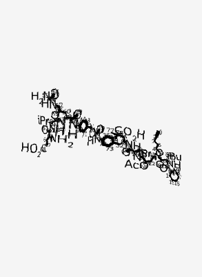 C#CCCCON(C(=O)[C@@H](NC(=O)[C@H]1CCCCN1C)[C@@H](C)CC)[C@H](C[C@@H](OC(C)=O)c1nc(C(=O)N[C@@H](Cc2ccc(NC(=O)OCc3ccc(NC(=O)[C@H](CCCNC(N)=O)NC(=O)[C@@H](NC(=O)[C@@H](N)CCC(=O)O)C(C)C)cc3)cc2)CC(C)(C)C(=O)O)cs1)C(C)C